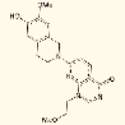 COCCn1cnc(=O)c2ccc(N3CCc4cc(O)c(OC)cc4C3)nc21